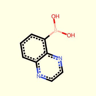 OB(O)c1cccc2nccnc12